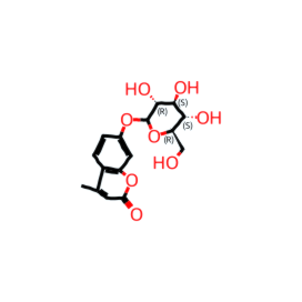 Cc1cc(=O)oc2cc(OC3O[C@H](CO)[C@@H](O)[C@H](O)[C@H]3O)ccc12